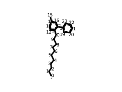 [CH2]CCCCCCCCCCc1ccc(C)cc1-c1ccccc1